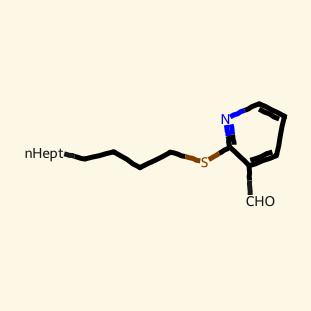 CCCCCCCCCCCSc1ncccc1C=O